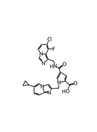 O=C(NCc1ncn2ccc(Cl)c(F)c12)c1cc(C(=O)O)n(Cc2cn3cc(C4CC4)ccc3n2)c1